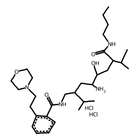 CCCCNC(=O)C(CC(O)C(N)CC(CNC(=O)c1ccccc1CCN1CCOCC1)C(C)C)C(C)C.Cl.Cl